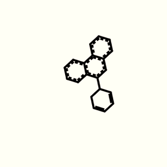 C1=CCC(c2cc3ccccc3c3ccccc23)C=C1